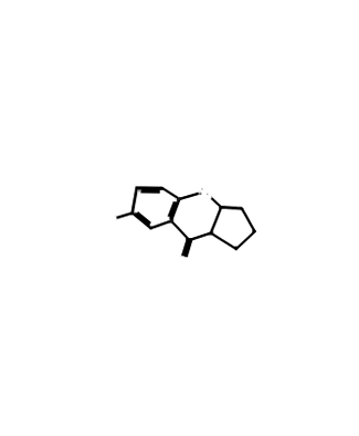 O=C1c2cc(F)ccc2NC2CCCC12